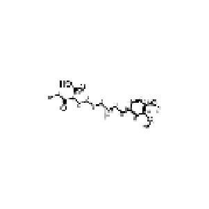 CCC(=O)C(CCCCNCCc1ccc(OC)c(OC)c1)C(=O)O